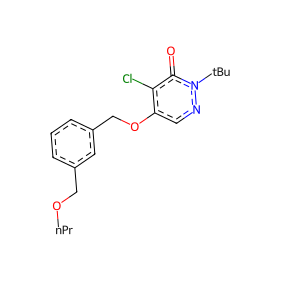 CCCOCc1cccc(COc2cnn(C(C)(C)C)c(=O)c2Cl)c1